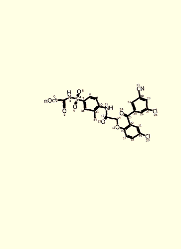 CCCCCCCCC(=O)NS(=O)(=O)c1ccc(NC(=O)COc2ccc(Cl)cc2C(=O)c2cc(Cl)cc(C#N)c2)c(C)c1